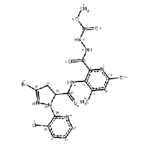 COC(=O)NNC(=O)c1nc(Cl)cc(C)c1NC(=O)C1CC(Br)=NN1c1ncccc1Cl